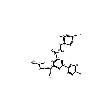 Cc1ccc(-c2cc(C(=O)NCc3ncc(Cl)cc3Cl)cc(C(=O)N3CC(O)C3)c2)cc1